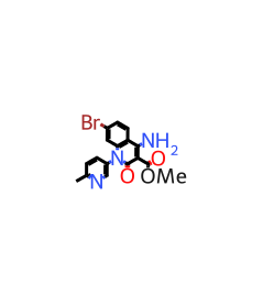 COC(=O)c1c(N)c2ccc(Br)cc2n(-c2ccc(C)nc2)c1=O